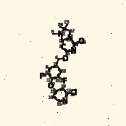 CN1c2cc(OCc3cc(F)c(Oc4ccnc(Cl)c4)c(F)c3)nc(=O)n2CC1(C)C